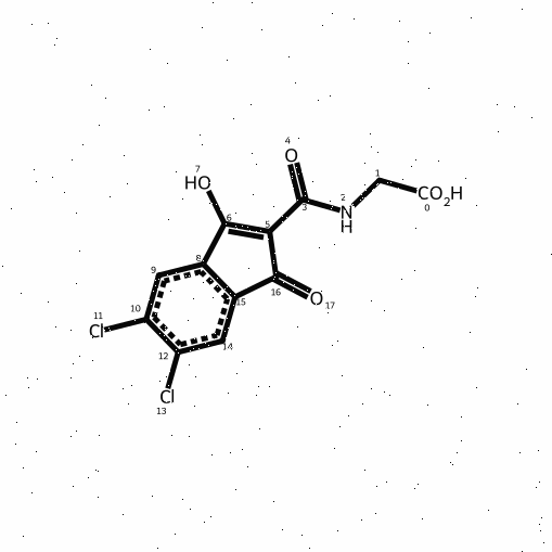 O=C(O)CNC(=O)C1=C(O)c2cc(Cl)c(Cl)cc2C1=O